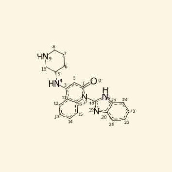 O=c1cc(NC2CCCNC2)c2ccccc2n1-c1nc2ccccc2[nH]1